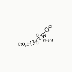 CCCCCC1CN(CC(=O)N2CCC(C(=O)OCC)CC2)C(=O)c2cc(-c3ccc(Cl)cc3)nn21